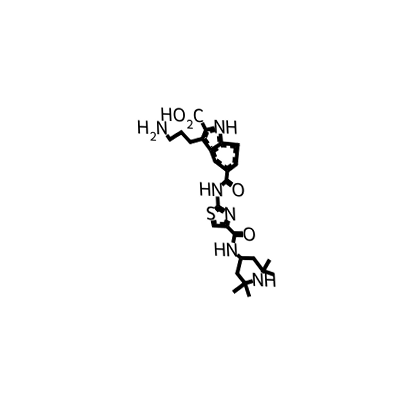 CC1(C)CC(NC(=O)c2csc(NC(=O)c3ccc4[nH]c(C(=O)O)c(CCCN)c4c3)n2)CC(C)(C)N1